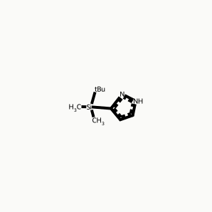 CC(C)(C)[Si](C)(C)c1cc[nH]n1